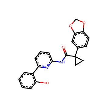 O=C(Nc1cccc(-c2ccccc2O)n1)C1(c2ccc3c(c2)OCO3)CC1